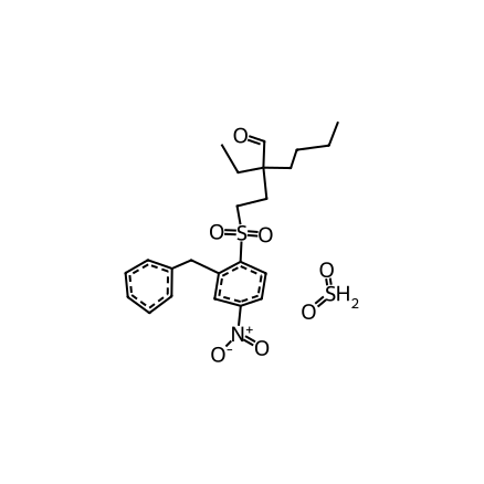 CCCCC(C=O)(CC)CCS(=O)(=O)c1ccc([N+](=O)[O-])cc1Cc1ccccc1.O=[SH2]=O